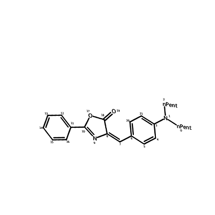 CCCCCN(CCCCC)c1ccc(C=C2N=C(c3ccccc3)OC2=O)cc1